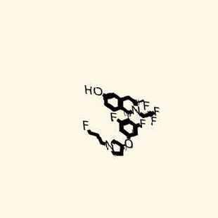 C[C@@H]1Cc2cc(O)ccc2[C@@H](c2c(F)cc(O[C@H]3CCN(CCCF)C3)cc2F)N1CC(F)(F)F